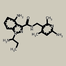 CCC(N)n1nc(C(=O)NCc2c(C)cc(N)nc2C)c2c(N)cccc21